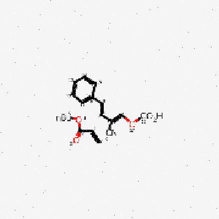 C=CC(=O)OCCCC.N#CC(C=Cc1ccccc1)=COC(=O)O